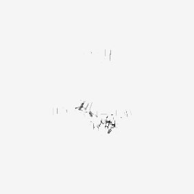 CC(=O)CN[C@@H](CCCCNC(=O)CC[C@H](NC(=O)CCCCCCCCCCCCCCCCC(=O)O)C(=O)O)C(=O)CN[C@@H](Cc1ccc(O)cc1)C(N)=O